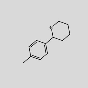 Cc1ccc(C2CCCC[N]2)cc1